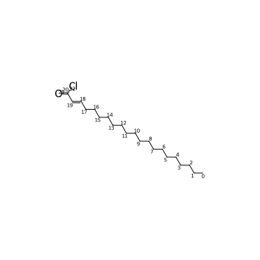 CCCCCCCCCCCCCCCCCCC=CC(=O)Cl